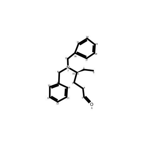 CC[C@@H](CCC=O)N(Cc1ccccc1)Cc1ccccc1